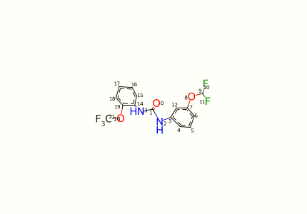 O=C(Nc1cccc(OC(F)F)c1)Nc1ccccc1OC(F)(F)F